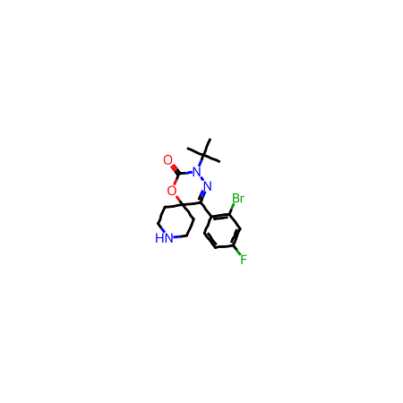 CC(C)(C)N1N=C(c2ccc(F)cc2Br)C2(CCNCC2)OC1=O